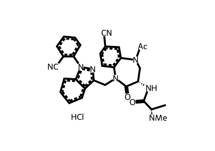 CN[C@@H](C)C(=O)N[C@H]1CN(C(C)=O)c2cc(C#N)ccc2N(Cc2nn(-c3ccccc3C#N)c3ccccc23)C1=O.Cl